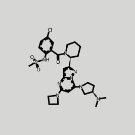 CN(C)[C@@H]1CCN(c2cc(N3CCC3)nc3cc([C@@H]4CCCCN4C(=O)c4cc(Cl)ccc4NS(C)(=O)=O)nn23)C1